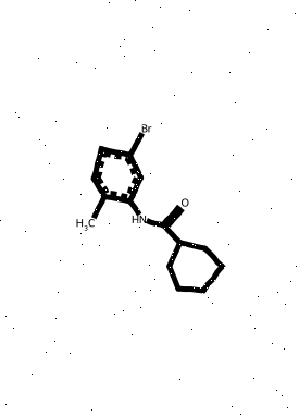 Cc1ccc(Br)cc1NC(=O)C1CCCCC1